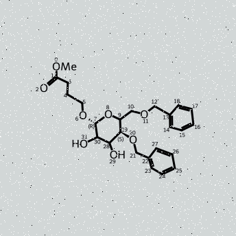 COC(=O)CCCO[C@@H]1OC(COCc2ccccc2)[C@@H](OCc2ccccc2)C(O)C1O